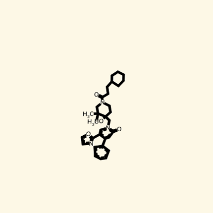 CC1(C)CN(C(=O)CCC2CCCCC2)CCC1(O)Cn1cc(-c2ncco2)c(-c2ccccc2)cc1=O